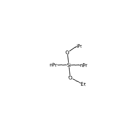 CCC[Si](CCC)(OCC)OC(C)C